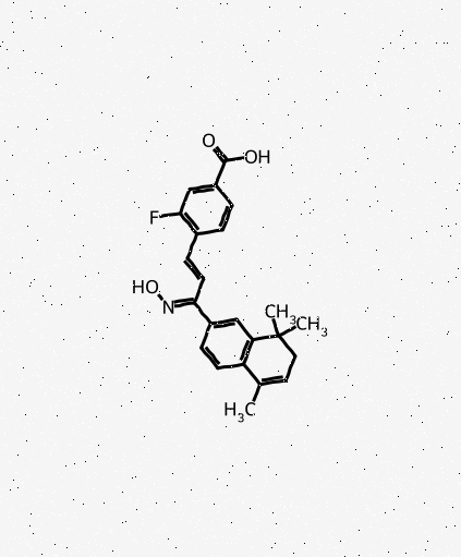 CC1=CCC(C)(C)c2cc(C(/C=C/c3ccc(C(=O)O)cc3F)=NO)ccc21